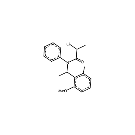 COc1cccc(C)c1C(C)N(C(=O)C(C)Cl)c1ccccc1